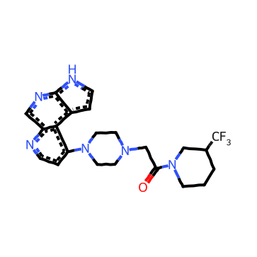 O=C(CN1CCN(c2ccnc3cnc4[nH]ccc4c23)CC1)N1CCCC(C(F)(F)F)C1